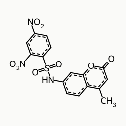 Cc1cc(=O)oc2cc(NS(=O)(=O)c3ccc([N+](=O)[O-])cc3[N+](=O)[O-])ccc12